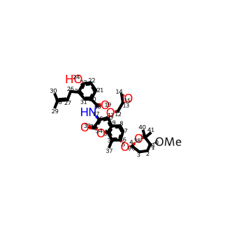 CO[C@@H]1CC[C@H](Oc2ccc3c(OCC4CO4)c(NC(=O)c4ccc(O)c(CC=C(C)C)c4)c(=O)oc3c2C)OC1(C)C